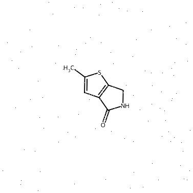 Cc1cc2c(s1)CNC2=O